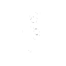 Cc1nc(N2CCC(C)(C(C)N)CC2)c(CO)nc1Sc1cc(N)ncc1Cl